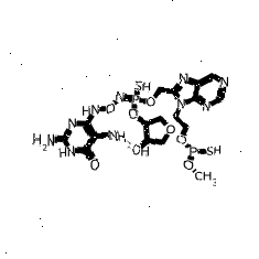 COP(S)OCCn1c(COP(S)(=NONc2nc(N)[nH]c(=O)c2N)OC2COCC2O)nc2cncnc21